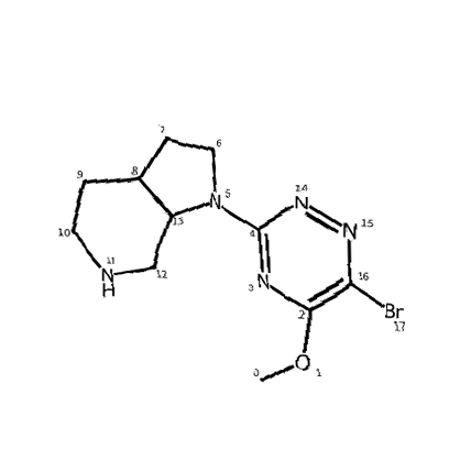 COc1nc(N2CCC3CCNCC32)nnc1Br